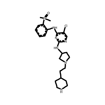 CP(C)(=O)c1ccccc1Nc1nc(NC2CCN(CCC3CCNCC3)C2)ncc1Cl